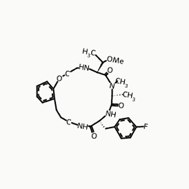 COC(C)[C@@H]1NCCOc2ccccc2CCCNC(=O)[C@@H](Cc2ccc(F)cc2)NC(=O)[C@@H](C)N(C)C1=O